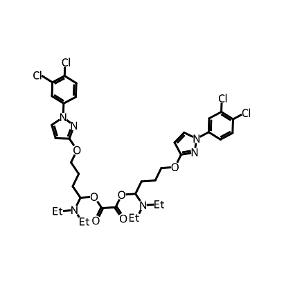 CCN(CC)C(CCCOc1ccn(-c2ccc(Cl)c(Cl)c2)n1)OC(=O)C(=O)OC(CCCOc1ccn(-c2ccc(Cl)c(Cl)c2)n1)N(CC)CC